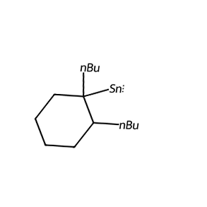 CCCCC1CCCC[C]1([Sn])CCCC